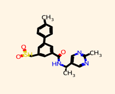 Cc1ccc(-c2cc(C[SH](=O)=O)cc(C(=O)N[C@H](C)c3cnc(C)nc3)c2)cc1